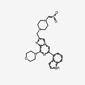 O=S(=O)=CN1CCN(Cc2cn3cc(-c4cccc5[nH]ccc45)nc(N4CCOCC4)c3n2)CC1